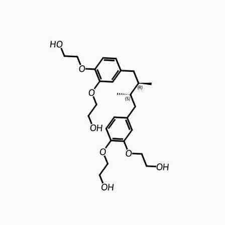 C[C@H](Cc1ccc(OCCO)c(OCCO)c1)[C@@H](C)Cc1ccc(OCCO)c(OCCO)c1